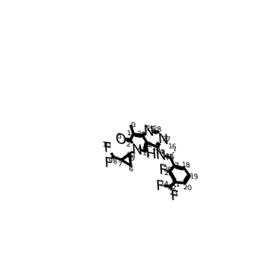 Cc1c(=O)n([C@H]2CC2C(F)F)cc2c(N[C@H](C)c3cccc(C(F)F)c3F)ncnc12